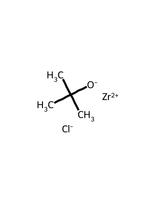 CC(C)(C)[O-].[Cl-].[Zr+2]